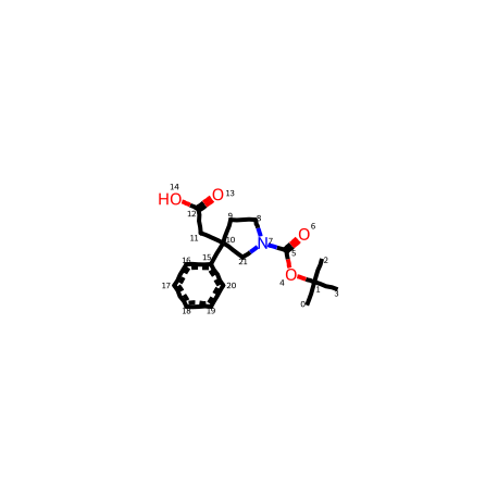 CC(C)(C)OC(=O)N1CCC(CC(=O)O)(c2ccccc2)C1